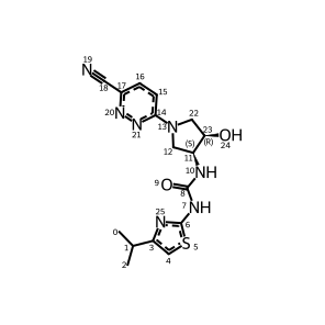 CC(C)c1csc(NC(=O)N[C@H]2CN(c3ccc(C#N)nn3)C[C@H]2O)n1